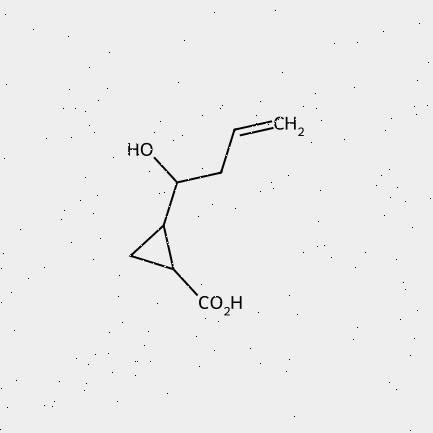 C=CCC(O)C1CC1C(=O)O